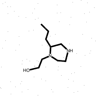 CCCC1CNCCN1CCO